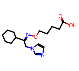 O=C(O)CCCCON=C(Cn1ccnc1)C1CCCCC1